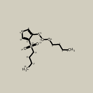 CCCCOOSc1cscc1S(=O)(=O)CCCC